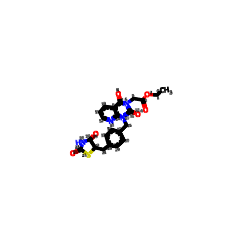 CCOC(=O)Cn1c(=O)c2cccnc2n(Cc2ccc(CC3SC(=O)NC3=O)cc2)c1=O